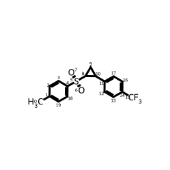 Cc1ccc(S(=O)(=O)C2CC2c2ccc(C(F)(F)F)cc2)cc1